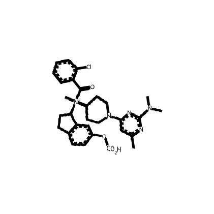 Cc1cc(N2CCC([N+](C)(C(=O)c3ccccc3Cl)C3CCc4ccc(OC(=O)O)cc43)CC2)nc(N(C)C)n1